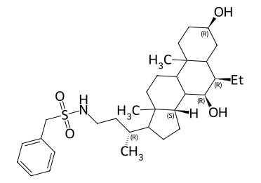 CC[C@@H]1C2C[C@H](O)CCC2(C)C2CCC3(C)C([C@H](C)CCNS(=O)(=O)Cc4ccccc4)CC[C@H]3C2[C@@H]1O